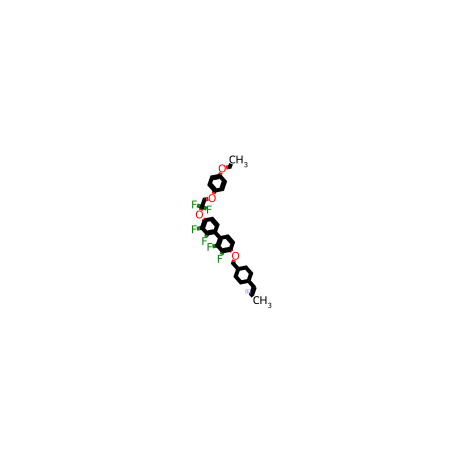 C/C=C/C1CCC(COc2ccc(-c3ccc(OC(F)(F)COc4ccc(OCC)cc4)c(F)c3F)c(F)c2F)CC1